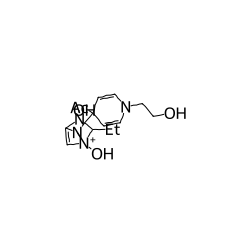 CCC1N(O)C2=C[N+]1(O)N2C1(C(C)=O)C=CN(CCO)C=C1